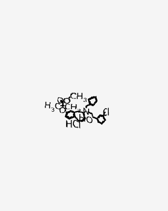 CCOC(=O)C(C)(C)Oc1ccc2c(c1)C[C@@H](N(Cc1ccccc1)C[C@H](O)c1cccc(Cl)c1)CCC2.Cl